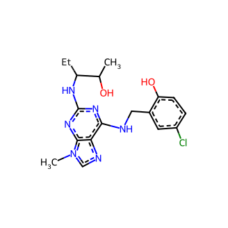 CCC(Nc1nc(NCc2cc(Cl)ccc2O)c2ncn(C)c2n1)C(C)O